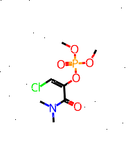 COP(=O)(OC)OC(=CCl)C(=O)N(C)C